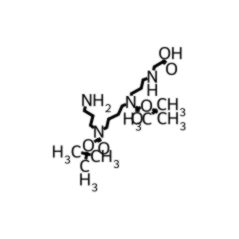 CC(C)(C)OC(=O)N(CCCN)CCCCN(CCCNCC(=O)O)C(=O)OC(C)(C)C